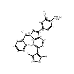 Cc1noc(C)c1-c1cnc2c(-c3ccc(C(=O)O)c(Cl)c3)cn([C@@H](C)c3ccccn3)c2n1